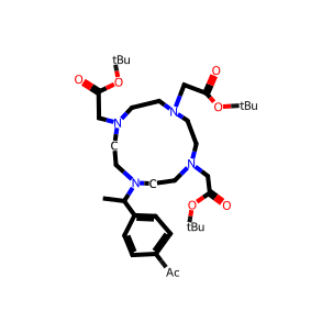 CC(=O)c1ccc(C(C)N2CCN(CC(=O)OC(C)(C)C)CCN(CC(=O)OC(C)(C)C)CCN(CC(=O)OC(C)(C)C)CC2)cc1